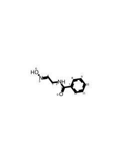 O=C(NCC=NO)c1ccccc1